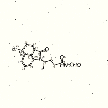 CC(CCC(=O)NC=O)N1C(=O)c2ccc(Br)c3cccc1c23